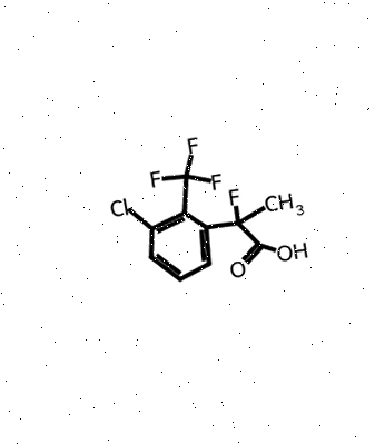 CC(F)(C(=O)O)c1cccc(Cl)c1C(F)(F)F